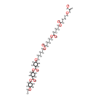 C=C(C=O)COCCCCCC(=O)OCCCCCC(=O)OCCCCCC(=O)OCCCCCCOc1ccc(C(=O)Oc2ccc(C(=O)Oc3ccc(OCC)cc3)cc2)cc1